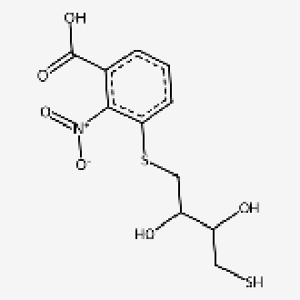 O=C(O)c1cccc(SCC(O)C(O)CS)c1[N+](=O)[O-]